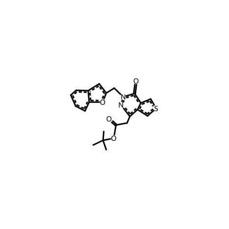 CC(C)(C)OC(=O)Cc1nn(Cc2cc3ccccc3o2)c(=O)c2cscc12